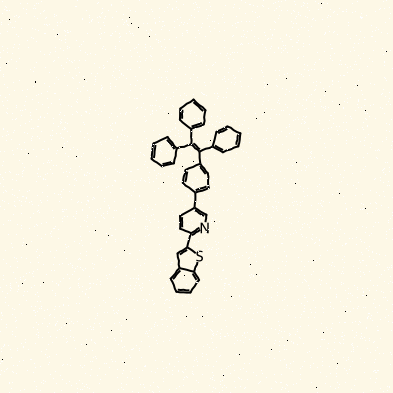 c1ccc(C(=C(c2ccccc2)c2ccc(-c3ccc(-c4cc5ccccc5s4)nc3)cc2)c2ccccc2)cc1